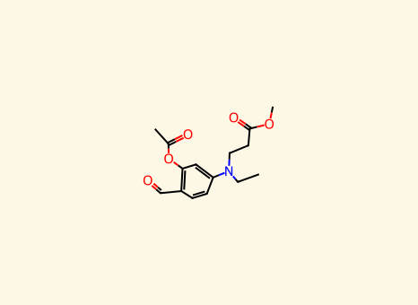 CCN(CCC(=O)OC)c1ccc(C=O)c(OC(C)=O)c1